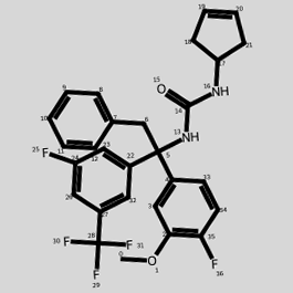 COc1cc(C(Cc2ccccc2)(NC(=O)NC2CC=CC2)c2cc(F)cc(C(F)(F)F)c2)ccc1F